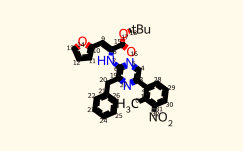 Cc1c(-c2cnc(N/C(=C\c3ccco3)C(=O)OC(C)(C)C)c(Cc3ccccc3)n2)cccc1[N+](=O)[O-]